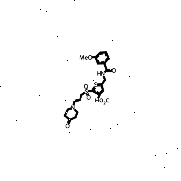 COc1cccc(C(=O)NCc2cc(C(=O)O)c(S(=O)(=O)CC=CN3CCC(=O)CC3)s2)c1